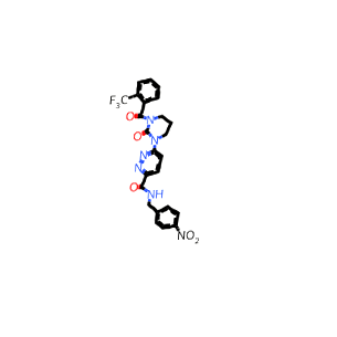 O=C(NCc1ccc([N+](=O)[O-])cc1)c1ccc(N2CCCN(C(=O)c3ccccc3C(F)(F)F)C2=O)nn1